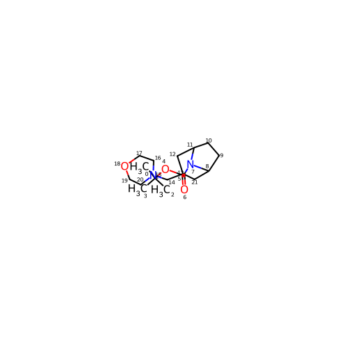 CC(C)(C)OC(=O)N1C2CCC1CC(CN1CCOCC1)C2